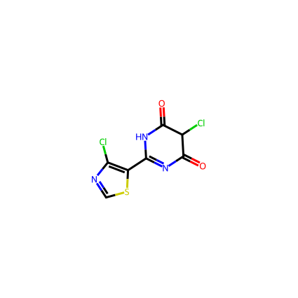 O=C1N=C(c2scnc2Cl)NC(=O)C1Cl